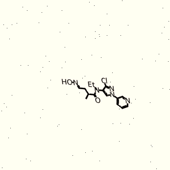 CCN(C(=O)C(C)CC=NO)c1cn(-c2cccnc2)nc1Cl